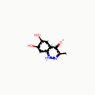 Cc1n[nH]c2cc(O)c(O)cc2c1=O